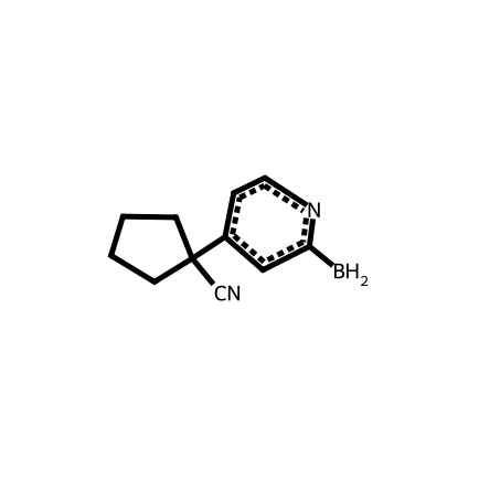 Bc1cc(C2(C#N)CCCC2)ccn1